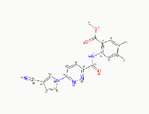 COC(=O)c1cc(C)c(C)cc1NC(=O)c1ccc(-n2ccc(C#N)c2)nn1